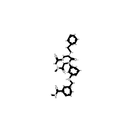 COC(=O)CN(C(=O)[C@@H](CCc1ccccc1)CSC(C)=O)c1cccc(OCc2cccc(C(=O)OC)c2)c1